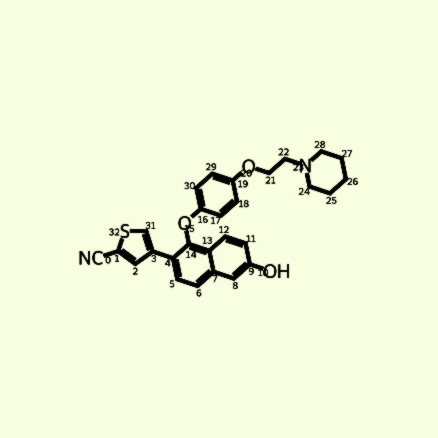 N#Cc1cc(-c2ccc3cc(O)ccc3c2Oc2ccc(OCCN3CCCCC3)cc2)cs1